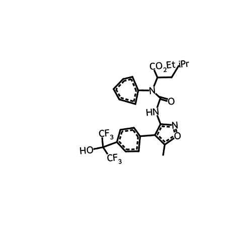 CCOC(=O)C(CC(C)C)N(C(=O)Nc1noc(C)c1-c1ccc(C(O)(C(F)(F)F)C(F)(F)F)cc1)c1ccccc1